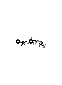 Cc1sc(COc2cc(F)c3c(c2)OCC(CN2CCC(F)(C(=O)O)C2)=C3)cc1-c1ccccc1